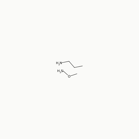 CCCN.CO[SiH3]